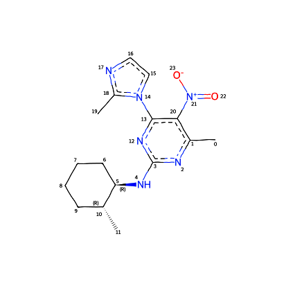 Cc1nc(N[C@@H]2CCCC[C@H]2C)nc(-n2ccnc2C)c1[N+](=O)[O-]